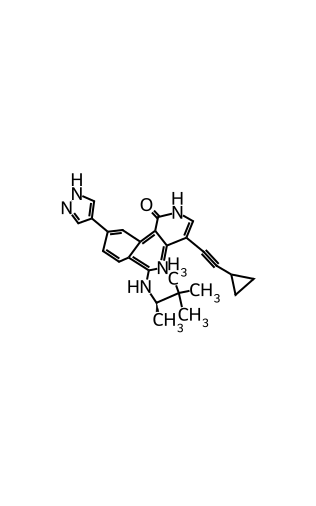 C[C@@H](Nc1nc2c(C#CC3CC3)c[nH]c(=O)c2c2cc(-c3cn[nH]c3)ccc12)C(C)(C)C